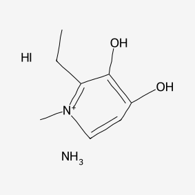 CCc1c(O)c(O)cc[n+]1C.I.N